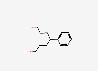 OCCCC(CCCO)c1ccccc1